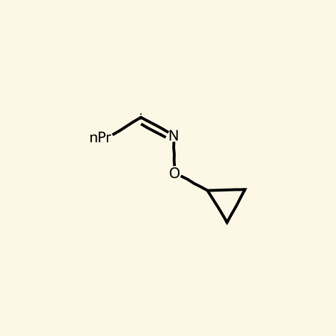 CCC/[C]=N\OC1CC1